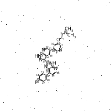 CN(C)CCOc1cncc(-c2cnc3[nH]nc(-c4nc5c(-c6ccc(F)cc6)ccnc5[nH]4)c3c2)c1